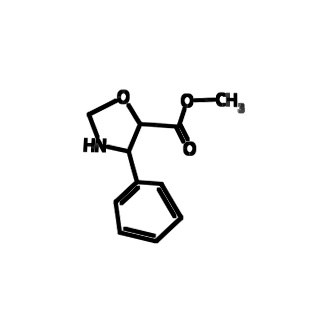 COC(=O)C1OCNC1c1ccccc1